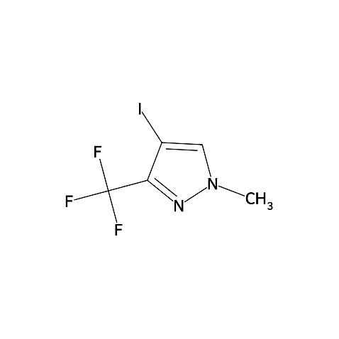 Cn1cc(I)c(C(F)(F)F)n1